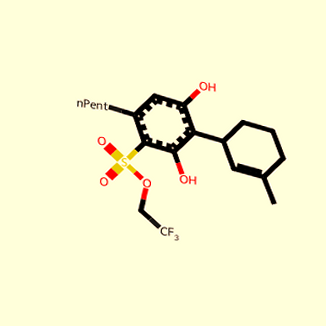 CCCCCc1cc(O)c(C2C=C(C)CCC2)c(O)c1S(=O)(=O)OCC(F)(F)F